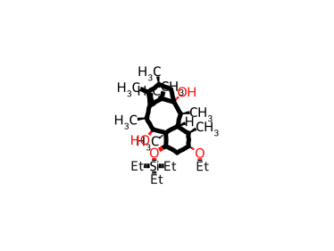 CCO[C@@H]1CC(O[Si](CC)(CC)CC)[C@]2(C)[C@@H]([C@H]1C)[C@H](C)[C@]1(O)C[C@H](C)C(C)=C([C@H](C)[C@@H]2O)C1(C)C